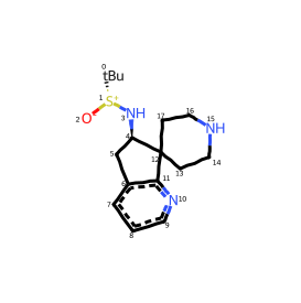 CC(C)(C)[S@@+]([O-])N[C@@H]1Cc2cccnc2C12CCNCC2